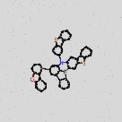 c1ccc2c(c1)B1c3cc4sc5ccccc5c4cc3N(c3ccc4sc5ccccc5c4c3)c3cc(-c4cccc5oc6ccccc6c45)cc-2c31